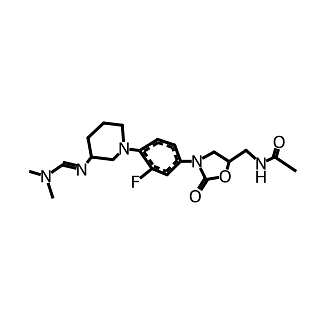 CC(=O)NCC1CN(c2ccc(N3CCCC(N=CN(C)C)C3)c(F)c2)C(=O)O1